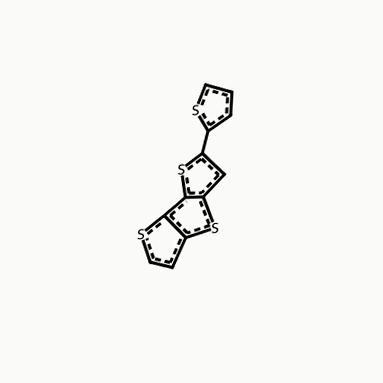 c1csc(-c2cc3sc4ccsc4c3s2)c1